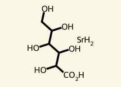 O=C(O)C(O)C(O)C(O)C(O)CO.[SrH2]